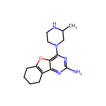 CC1CN(c2nc(N)nc3c4c(oc23)CCCC4)CCN1